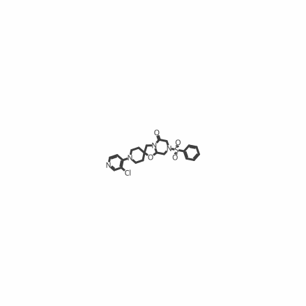 O=C1CN(S(=O)(=O)c2ccccc2)CC2OC3(CCN(c4ccncc4Cl)CC3)CN12